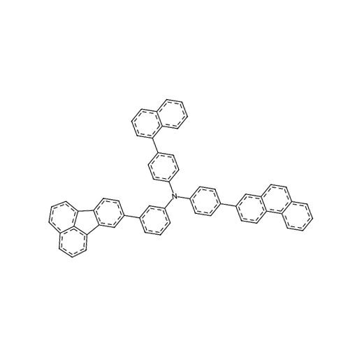 c1cc(-c2ccc3c(c2)-c2cccc4cccc-3c24)cc(N(c2ccc(-c3ccc4c(ccc5ccccc54)c3)cc2)c2ccc(-c3cccc4ccccc34)cc2)c1